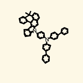 CC1(C)c2ccccc2-c2c3c1cccc3cc1c2c2ccccc2n1-c1ccc(N(c2ccc(-c3ccccc3)cc2)c2ccc(-c3ccccc3)cc2)cc1